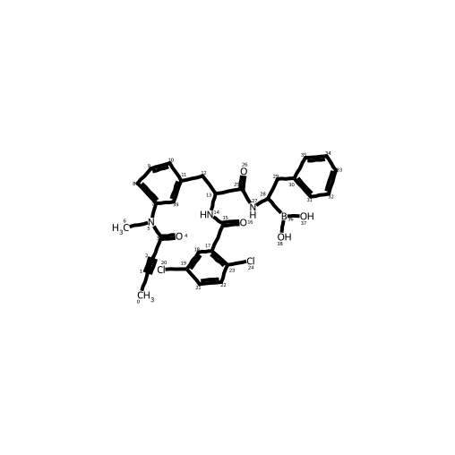 CC#CC(=O)N(C)c1cccc(CC(NC(=O)c2cc(Cl)ccc2Cl)C(=O)NC(Cc2ccccc2)B(O)O)c1